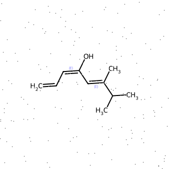 C=C/C=C(O)\C=C(/C)C(C)C